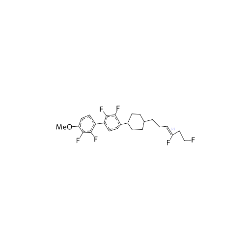 COc1ccc(-c2ccc(C3CCC(CC/C=C(\F)CCF)CC3)c(F)c2F)c(F)c1F